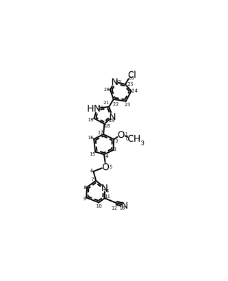 COc1cc(OCc2cccc(C#N)n2)ccc1-c1c[nH]c(-c2ccc(Cl)nc2)n1